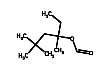 CCC(C)(CC(C)(C)C)OC=O